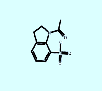 CC(=O)N1CCc2cccc(S(=O)(=O)Cl)c21